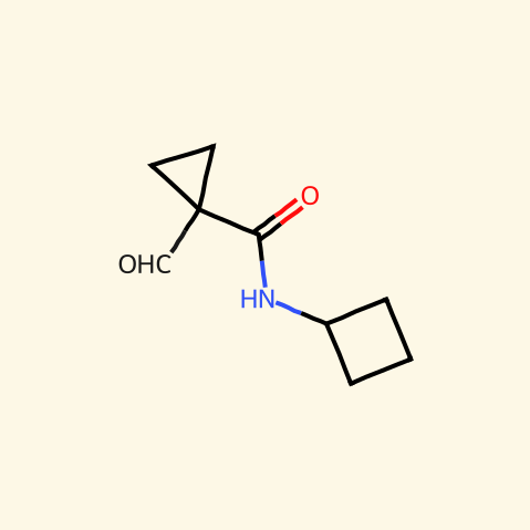 O=CC1(C(=O)NC2CCC2)CC1